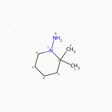 CC1(C)CCCCN1N